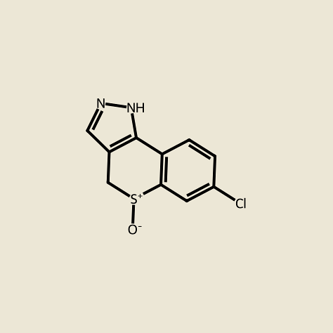 [O-][S+]1Cc2cn[nH]c2-c2ccc(Cl)cc21